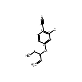 C=CC(CO)Oc1ccc(C#N)c(Cl)c1